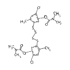 Cc1cc(Cl)c(OC(=O)N(C)C)cc1SSSSc1cc(OC(=O)N(C)C)c(Cl)cc1C